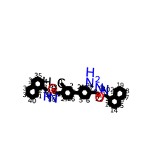 Cc1cc(-c2ccc(-c3nnc(-c4cccc5ccccc45)o3)c(N)c2)ccc1-c1nnc(-c2cccc3ccccc23)o1